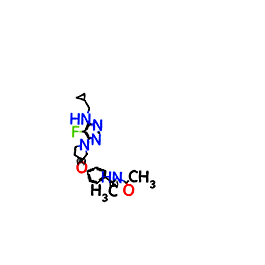 CC(=O)N[C@@H](C)c1ccc(O[C@@H]2CCN(c3ncnc(NCC4CC4)c3F)C2)cc1